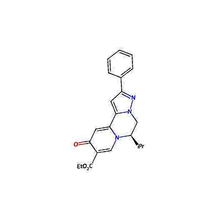 CCOC(=O)c1cn2c(cc1=O)-c1cc(-c3ccccc3)nn1C[C@H]2C(C)C